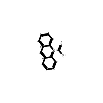 S=CS.c1ccc2nc3ccccc3cc2c1